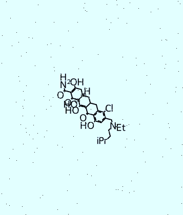 CCN(CCC(C)C)Cc1cc(O)c2c(c1Cl)CC1C[C@H]3CC(O)=C(C(N)=O)C(=O)[C@@]3(O)C(O)=C1C2=O